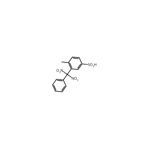 Cc1ccc(S(=O)(=O)O)cc1C(c1ccccc1)([N+](=O)[O-])[N+](=O)[O-]